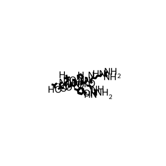 CC(C)C[C@H](NC(=O)[C@@H](NC(=O)[C@H](Cc1ccc(O)cc1)NC(=O)[C@@H]1CCCN1C(=O)[C@H](CCCNC(=N)N)N(C)C(=O)[C@@H](N)CCCNC(=N)N)C(C)(C)C)C(=O)O